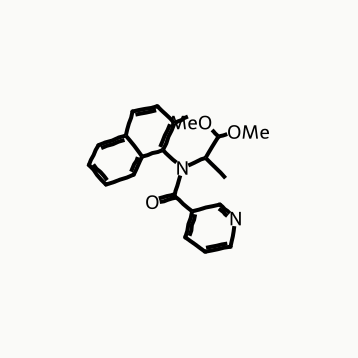 COC(OC)C(C)N(C(=O)c1cccnc1)c1c(C)ccc2ccccc12